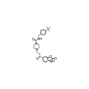 CC(C)(C)c1ccc(CNC(=O)N2CCN(CCC(=O)c3ccc4[nH]c(=O)oc4c3)CC2)cc1